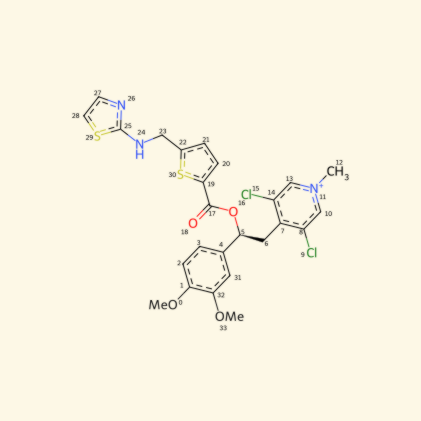 COc1ccc([C@H](Cc2c(Cl)c[n+](C)cc2Cl)OC(=O)c2ccc(CNc3nccs3)s2)cc1OC